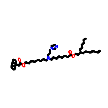 CCCCCCC(CCCCCC)CCOC(=O)CCCCCCCN(CCCCCCCCOC(=O)CC12C3C4C5C3C1C5C42)CCCn1ccnc1